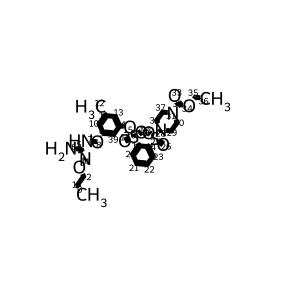 CCCON=C(N)NOc1cc(C)cc(OS(=O)(=O)c2ccccc2S(=O)(=O)N2CCN(C(=O)OCC)CC2)c1